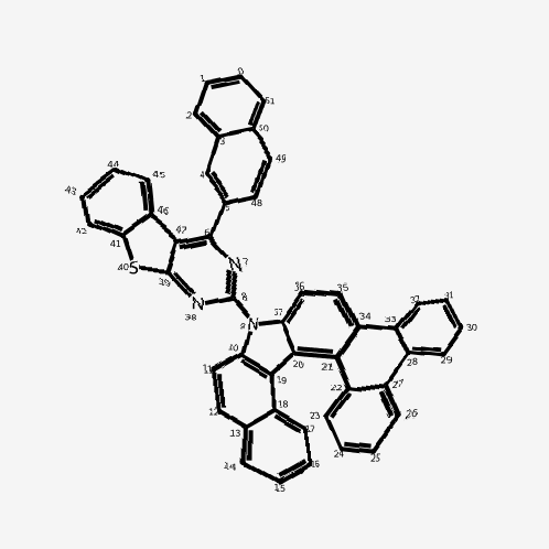 c1ccc2cc(-c3nc(-n4c5ccc6ccccc6c5c5c6c7ccccc7c7ccccc7c6ccc54)nc4sc5ccccc5c34)ccc2c1